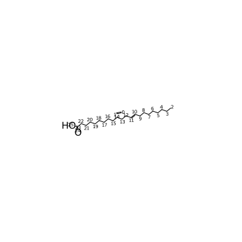 C=C.CCCCCCCCC=CCCCCCCCCCCCC(=O)O